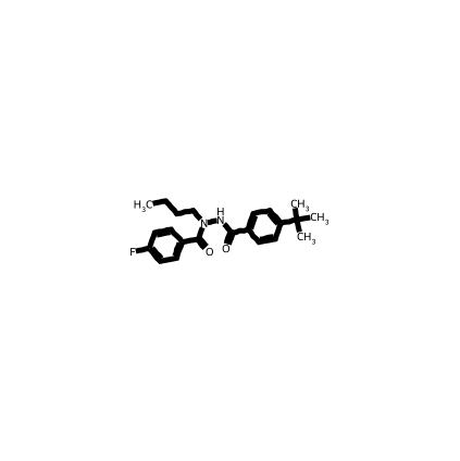 CCCCN(NC(=O)c1ccc(C(C)(C)C)cc1)C(=O)c1ccc(F)cc1